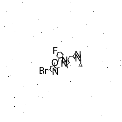 Cc1cc(Cc2cnn(CC3CC3)c2)n(-c2ccc(F)cc2COc2cc(Br)cnc2C)n1